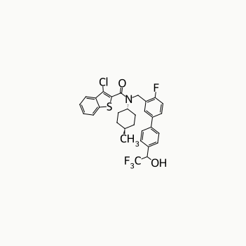 C[C@H]1CC[C@H](N(Cc2cc(-c3ccc(C(O)C(F)(F)F)cc3)ccc2F)C(=O)c2sc3ccccc3c2Cl)CC1